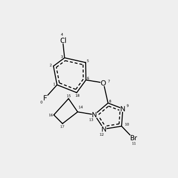 Fc1cc(Cl)cc(Oc2nc(Br)nn2C2CCC2)c1